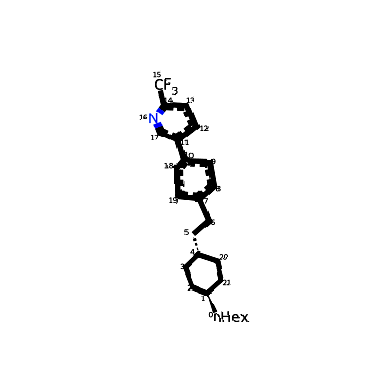 CCCCCC[C@H]1CC[C@H](CCc2ccc(-c3ccc(C(F)(F)F)nc3)cc2)CC1